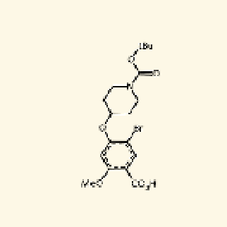 COc1cc(OC2CCN(C(=O)OC(C)(C)C)CC2)c(Br)cc1C(=O)O